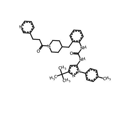 Cc1ccc(-n2nc(C(C)(C)C)cc2NC(=O)Nc2ccccc2CC2CCN(C(=O)CCc3cccnc3)CC2)cc1